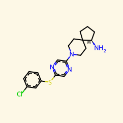 N[C@@H]1CCCC12CCN(c1cnc(Sc3cccc(Cl)c3)cn1)CC2